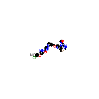 Cc1sc2c(c1C)C(c1ccc(OCC3CC4(CCCN(c5ccc(C(=O)N[C@H]6CC[C@H](Oc7ccc(C#N)c(Cl)c7)CC6)nn5)C4)C3)nc1)=N[C@@H](Cc1ncco1)c1nnc(C)n1-2